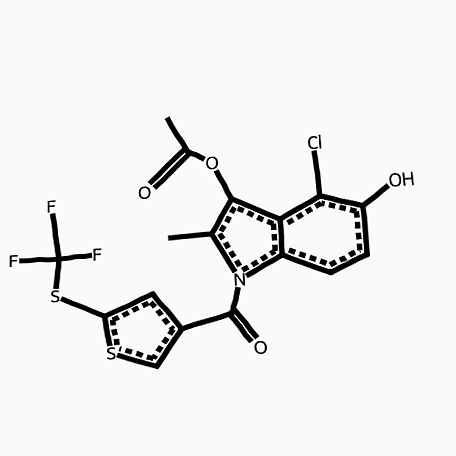 CC(=O)Oc1c(C)n(C(=O)c2csc(SC(F)(F)F)c2)c2ccc(O)c(Cl)c12